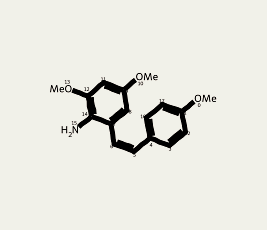 COc1ccc(/C=C\c2cc(OC)cc(OC)c2N)cc1